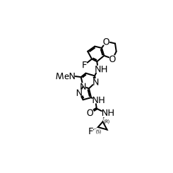 CNc1cc(Nc2c(F)ccc3c2OCCO3)nc2c(NC(=O)N[C@@H]3C[C@@H]3F)cnn12